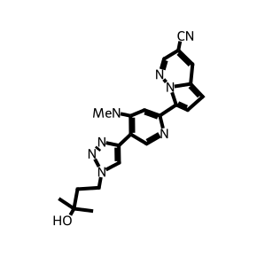 CNc1cc(-c2ccc3cc(C#N)cnn23)ncc1-c1cn(CCC(C)(C)O)nn1